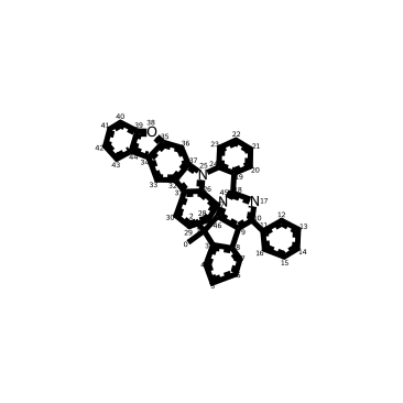 CC1(C)c2ccccc2-c2c(-c3ccccc3)nc(-c3ccccc3-n3c4ccccc4c4cc5c(cc43)oc3ccccc35)nc21